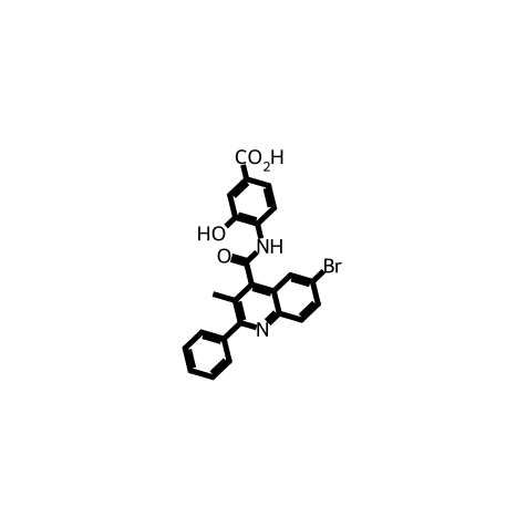 Cc1c(-c2ccccc2)nc2ccc(Br)cc2c1C(=O)Nc1ccc(C(=O)O)cc1O